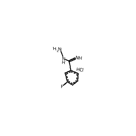 Cl.N=C(NN)c1cccc(F)c1